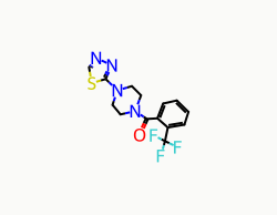 O=C(c1ccccc1C(F)(F)F)N1CCN(c2nncs2)CC1